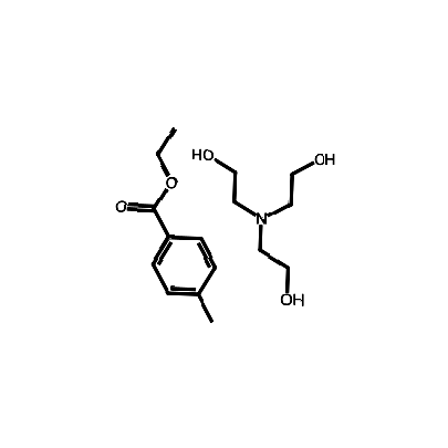 CCOC(=O)c1ccc(C)cc1.OCCN(CCO)CCO